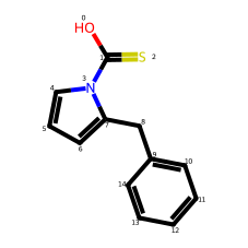 OC(=S)n1cccc1Cc1ccccc1